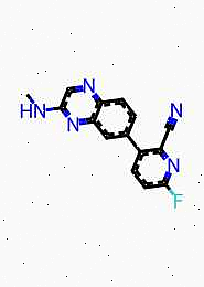 CNc1cnc2ccc(-c3ccc(F)nc3C#N)cc2n1